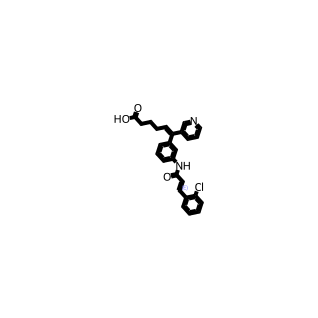 O=C(O)CCCC=C(c1cccnc1)c1cccc(NC(=O)/C=C/c2ccccc2Cl)c1